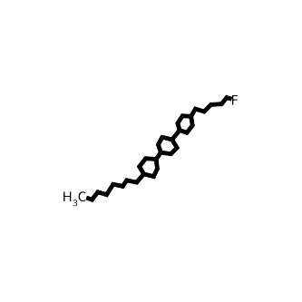 CCCCCCCCC1CCC(C2CCC(C3CCC(CCCCCF)CC3)CC2)CC1